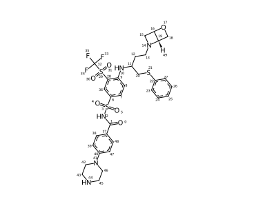 O=C(NS(=O)(=O)c1ccc(NC(CCN2CC3OC[C@@H]32)CSc2ccccc2)c(S(=O)(=O)C(F)(F)F)c1)c1ccc(N2CCNCC2)cc1